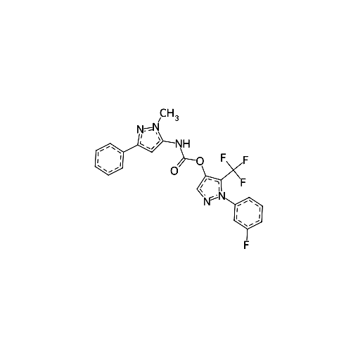 Cn1nc(-c2ccccc2)cc1NC(=O)Oc1cnn(-c2cccc(F)c2)c1C(F)(F)F